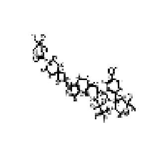 COc1ccc([C@]2(CCN(Cc3ccc4c(cnn4C4CC5(CCN(C(=O)OC(C)(C)C)CC5)C4)c3)CC(C)(C)C(F)(F)F)CCOC(C)(C)C2)cc1